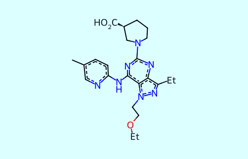 CCOCCn1nc(CC)c2nc(N3CCC[C@H](C(=O)O)C3)nc(Nc3ccc(C)cn3)c21